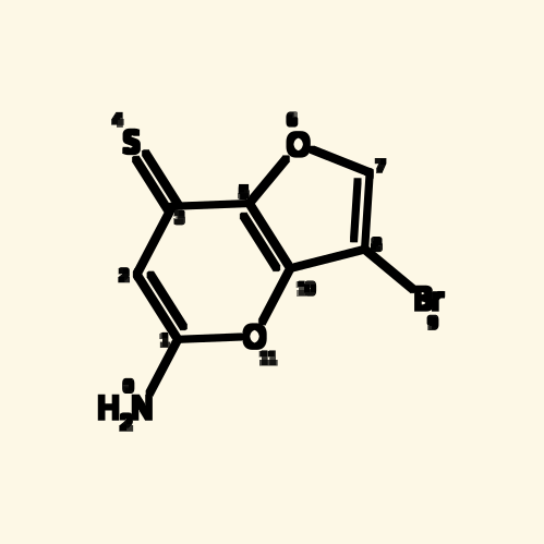 Nc1cc(=S)c2occ(Br)c2o1